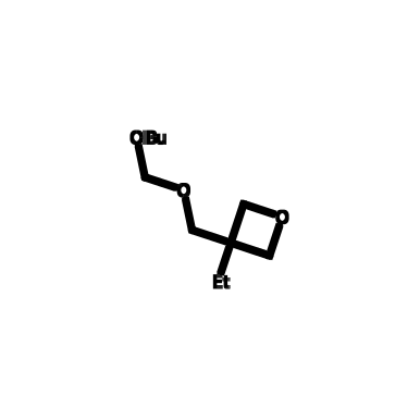 CCC1(COCOCC(C)C)COC1